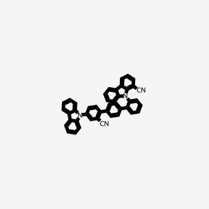 N#Cc1cc(-n2c3ccccc3c3ccccc32)ccc1-c1ccc(-c2ccccc2-n2c3ccccc3c3cccc(C#N)c32)cc1